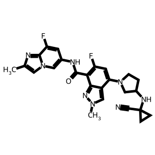 Cc1cn2cc(NC(=O)c3c(F)cc(N4CCC(NC5(C#N)CC5)C4)c4cn(C)nc34)cc(F)c2n1